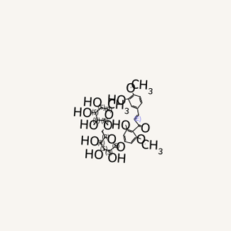 COc1ccc(/C=C/C(=O)c2c(O)cc(O[C@@H]3O[C@H](CO[C@@H]4O[C@H](C)[C@@H](O)[C@H](O)[C@@H]4O)[C@H](O)[C@H](O)[C@@H]3O)cc2OC)cc1O